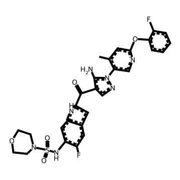 Cc1cc(Oc2ccccc2F)ncc1-n1ncc(C(=O)c2cc3cc(F)c(NS(=O)(=O)N4CCOCC4)cc3[nH]2)c1N